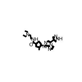 CCN(CC)CCNC(=O)c1ccc(Nc2ncc(-c3cn[nH]c3)n3ccnc23)c(C)c1